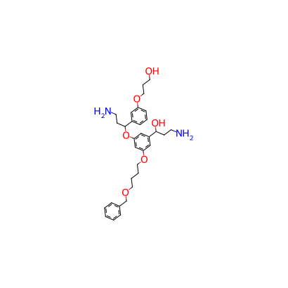 NCCC(O)c1cc(OCCCCOCc2ccccc2)cc(OC(CCN)c2cccc(OCCCO)c2)c1